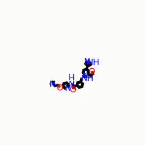 CN(C)CCOc1ccc(NC(=O)c2cccc(CNN3C=CC(c4cn[nH]c4)=C4OCCC43)c2)nc1